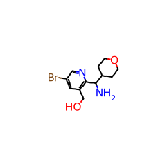 NC(c1ncc(Br)cc1CO)C1CCOCC1